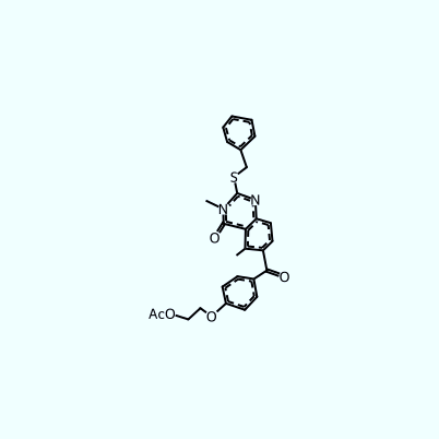 CC(=O)OCCOc1ccc(C(=O)c2ccc3nc(SCc4ccccc4)n(C)c(=O)c3c2C)cc1